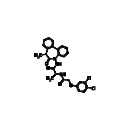 CC1C(=O)N(NC(=O)[C@H](C)NC(=O)COc2ccc(Cl)c(Cl)c2)c2ccccc2-c2ccccc21